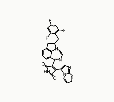 O=C1NC(=O)C(c2cnc3ccccn23)=C1C1=NC=CN2c3c(cccc31)CC2Cc1c(F)cc(F)cc1F